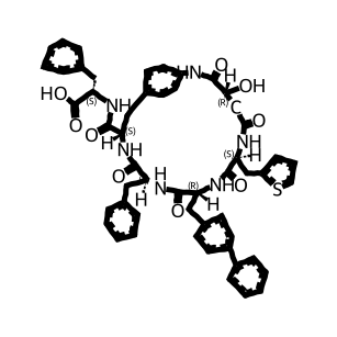 O=C1C[C@@H](O)C(=O)Nc2ccc(cc2)C[C@@H](C(=O)N[C@@H](Cc2ccccc2)C(=O)O)NC(=O)[C@H](Cc2ccccc2)NC(=O)[C@@H](Cc2ccc(-c3ccccc3)cc2)NC(=O)[C@H](Cc2cccs2)N1